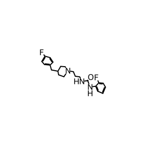 O=C(NCCCN1CCC(Cc2ccc(F)cc2)CC1)Nc1ccccc1F